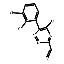 S=Cc1nnc(-c2cccc(Cl)c2Cl)c(Cl)n1